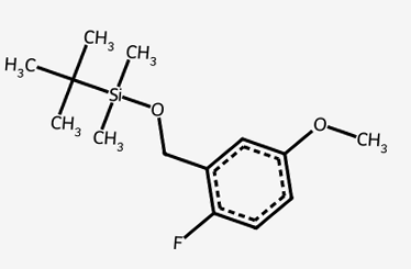 COc1ccc(F)c(CO[Si](C)(C)C(C)(C)C)c1